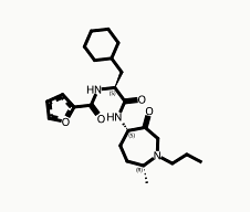 CCCN1CC(=O)[C@@H](NC(=O)[C@H](CC2CCCCC2)NC(=O)c2ccco2)CC[C@H]1C